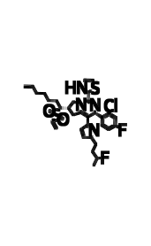 C=CCCCCC([C@H]1CC2=C(C3=NC(CCC(C)F)C=C3)[C@H](c3ccc(F)cc3Cl)N=C(C3NC=CS3)N2C1)S(=O)(=O)C=C